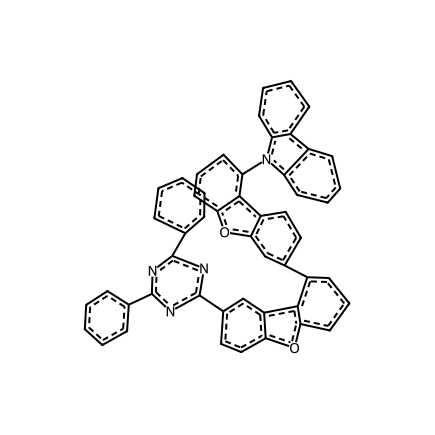 c1ccc(-c2nc(-c3ccccc3)nc(-c3ccc4oc5cccc(-c6ccc7c(c6)oc6cccc(-n8c9ccccc9c9ccccc98)c67)c5c4c3)n2)cc1